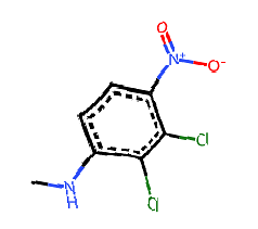 CNc1ccc([N+](=O)[O-])c(Cl)c1Cl